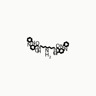 NC(CCCNC(=O)c1c(Cl)ccc2nc3ccccc3nc12)CCCNC(=O)c1c(Cl)ccc2nc3ccccc3nc12